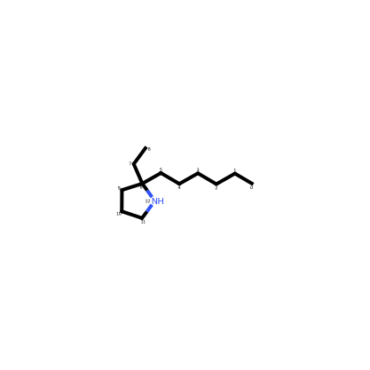 CCCCCCC1(CC)CCCN1